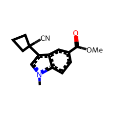 COC(=O)c1ccc2c(c1)c(C1(C#N)CCC1)cn2C